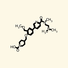 COCc1cc(-c2ccc(C(=O)N(C)CCN(C)C)nc2)ccc1OCC1CCN(C(=O)O)CC1